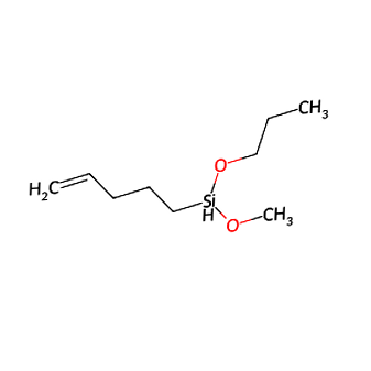 C=CCCC[SiH](OC)OCCC